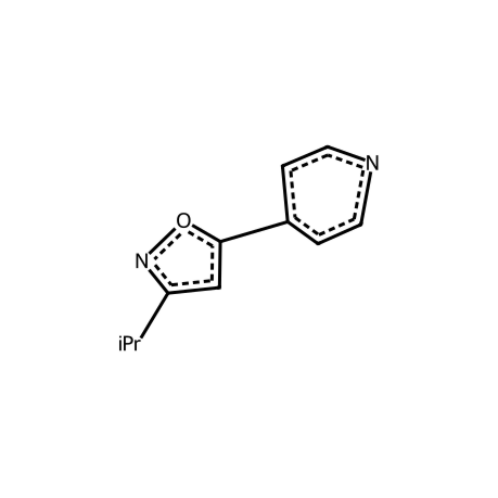 CC(C)c1cc(-c2ccncc2)on1